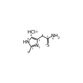 Cc1nc(CC(N)=S)c[nH]1.Cl